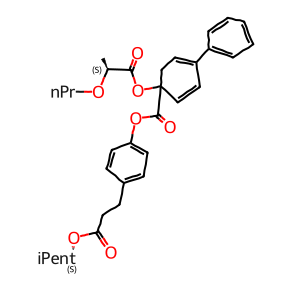 CCCO[C@@H](C)C(=O)OC1(C(=O)Oc2ccc(CCC(=O)O[C@@H](C)CCC)cc2)C=CC(c2ccccc2)=CC1